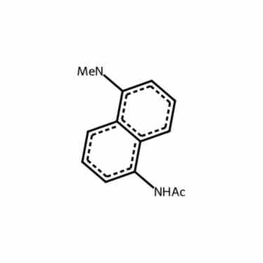 CNc1cccc2c(NC(C)=O)cccc12